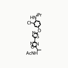 CC(=O)NC(C)c1nc(-c2cnc(Oc3ccc(NC(C)C)c(Cl)c3)s2)no1